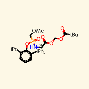 COCP(=O)(N[C@@H](C)C(=O)OCOC(=O)C(C)(C)C)Oc1c(C(C)C)cccc1C(C)C